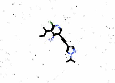 CCC(C)c1c(Cl)ncc(C#Cc2cnn(C(C)C)c2)c1N